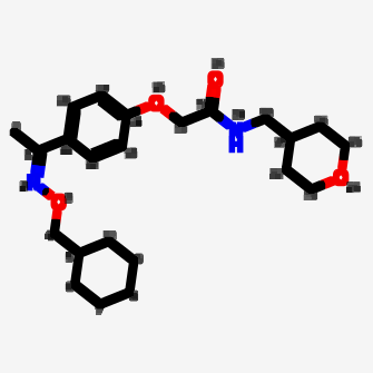 CC(=NOCC1CCCCC1)c1ccc(OCC(=O)NCC2CCOCC2)cc1